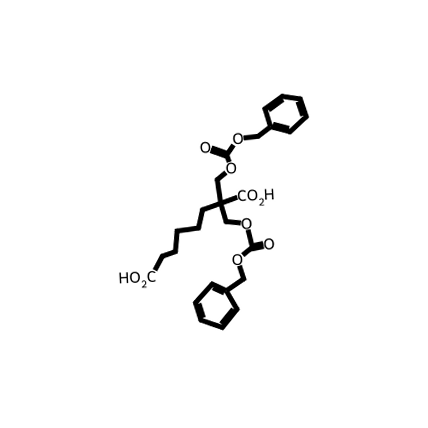 O=C(O)CCCCCC(COC(=O)OCc1ccccc1)(COC(=O)OCc1ccccc1)C(=O)O